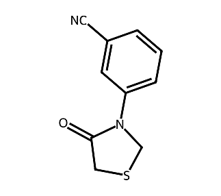 N#Cc1cccc(N2CSCC2=O)c1